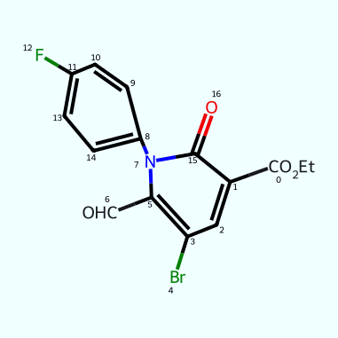 CCOC(=O)c1cc(Br)c(C=O)n(-c2ccc(F)cc2)c1=O